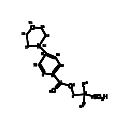 O=C(OCC(F)(F)S(=O)(=O)O)c1ccc(N2CCOCC2)cc1